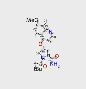 COc1ccc2c(O[C@@H]3C[C@@H](C(N)=O)N(C(=O)CC(C)(C)C)C3)ccnc2c1C